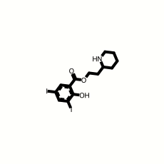 O=C(OCCC1CCCCN1)c1cc(I)cc(I)c1O